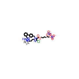 CCCCc1nc(Cl)c(C(=O)OCCCC[C@@H](CO[N+](=O)[O-])O[N+](=O)[O-])n1Cc1ccc(-c2ccccc2-c2nnn[nH]2)cc1